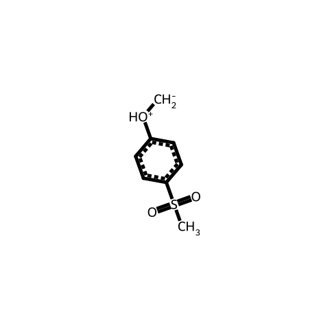 [CH2-][OH+]c1ccc(S(C)(=O)=O)cc1